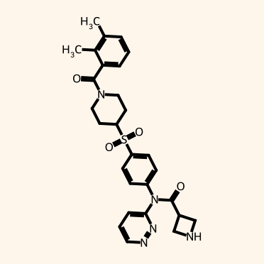 Cc1cccc(C(=O)N2CCC(S(=O)(=O)c3ccc(N(C(=O)C4CNC4)c4cccnn4)cc3)CC2)c1C